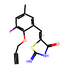 C#CCOc1c(I)cc(C)cc1/C=C1\SC(=N)NC1=O